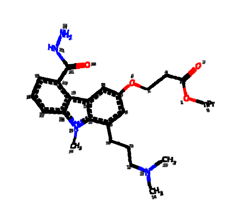 CCCOC(=O)CCOc1cc(CCCN(C)C)c2c(c1)c1c(C(=O)NN)cccc1n2C